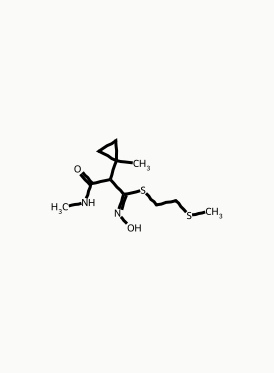 CNC(=O)C(C(=NO)SCCSC)C1(C)CC1